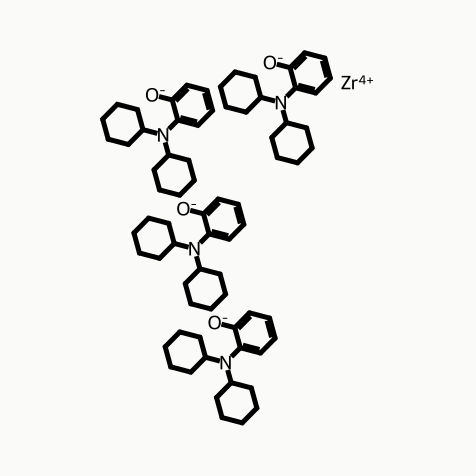 [O-]c1ccccc1N(C1CCCCC1)C1CCCCC1.[O-]c1ccccc1N(C1CCCCC1)C1CCCCC1.[O-]c1ccccc1N(C1CCCCC1)C1CCCCC1.[O-]c1ccccc1N(C1CCCCC1)C1CCCCC1.[Zr+4]